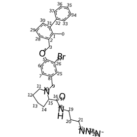 Cc1c(COc2ccc(CN3CCCCC3C(=O)NCCCN=[N+]=[N-])cc2Br)cccc1-c1ccccc1